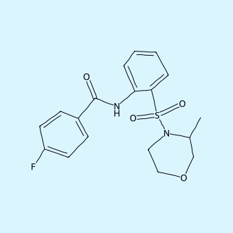 CC1COCCN1S(=O)(=O)c1ccccc1NC(=O)c1ccc(F)cc1